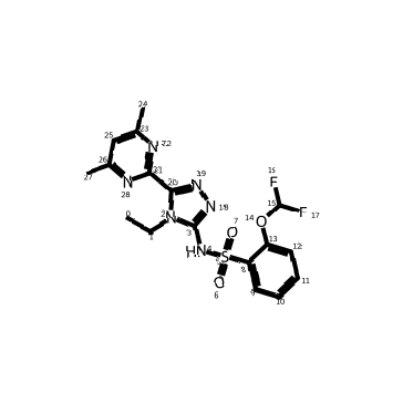 CCn1c(NS(=O)(=O)c2ccccc2OC(F)F)nnc1-c1nc(C)cc(C)n1